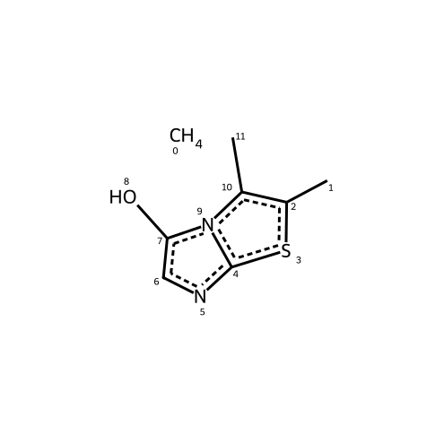 C.Cc1sc2ncc(O)n2c1C